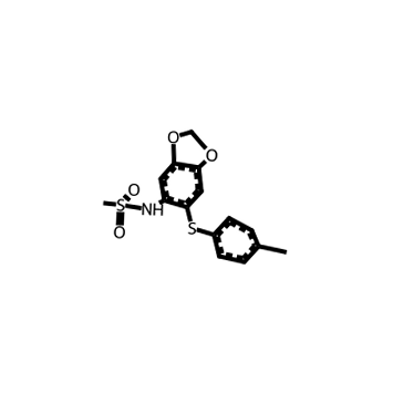 Cc1ccc(Sc2cc3c(cc2NS(C)(=O)=O)OCO3)cc1